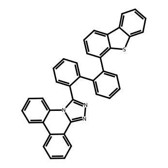 c1ccc(-c2cccc3c2sc2ccccc23)c(-c2ccccc2-c2nnc3c4ccccc4c4ccccc4n23)c1